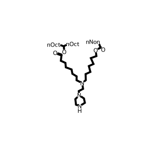 CCCCCCCCCC(=O)OCCCCCCCN(CCCCCCCC(=O)OC(CCCCCCCC)CCCCCCCC)CCN1CCNCC1